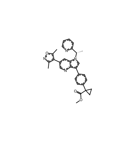 COC(=O)C1(c2ccc(-c3cn([C@@H](C)c4ccccn4)c4cc(-c5c(C)noc5C)cnc34)cc2)CC1